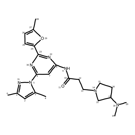 Cc1cc(C)n(-c2cc(NC(=O)CCN3CCC(N(C)C)C3)nc(-c3ccc(C)o3)n2)n1